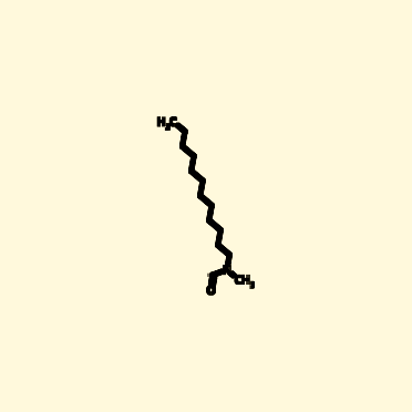 CCCCCCCCCCCCN(C)[C]=O